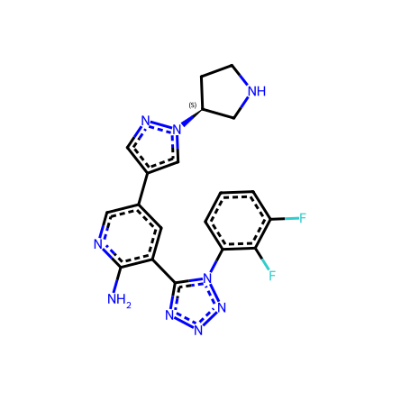 Nc1ncc(-c2cnn([C@H]3CCNC3)c2)cc1-c1nnnn1-c1cccc(F)c1F